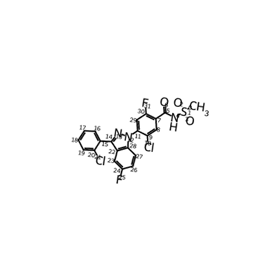 CS(=O)(=O)NC(=O)c1cc(Cl)c(-n2nc(-c3ccccc3Cl)c3cc(F)ccc32)cc1F